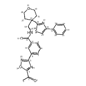 CC(=O)c1nc(-c2cccc(C(=O)NCC3(c4nc(-c5ccccc5)cs4)CCOCC3)c2)no1